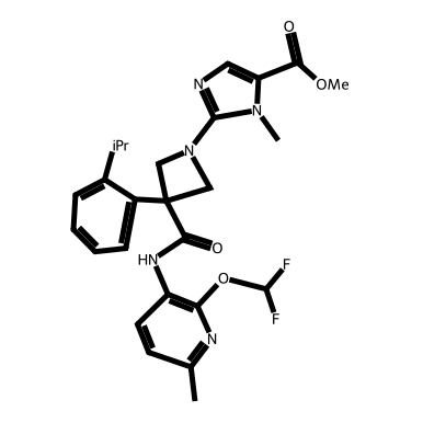 COC(=O)c1cnc(N2CC(C(=O)Nc3ccc(C)nc3OC(F)F)(c3ccccc3C(C)C)C2)n1C